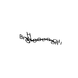 C=C(O)CCOCCOCCOCCOCCNC(=O)CBr